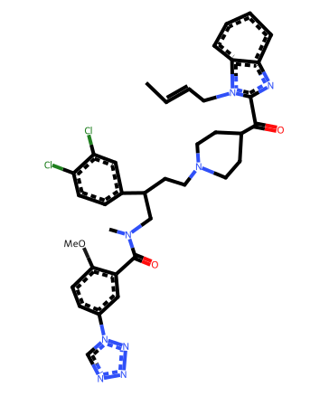 C/C=C/Cn1c(C(=O)C2CCN(CCC(CN(C)C(=O)c3cc(-n4cnnn4)ccc3OC)c3ccc(Cl)c(Cl)c3)CC2)nc2ccccc21